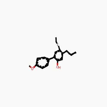 CCCc1cc(O)c(-c2ccc(OC)cc2)cc1CCC